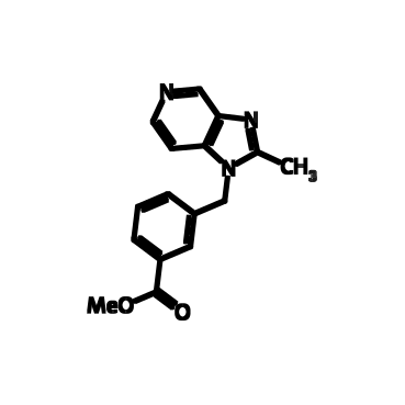 COC(=O)c1cccc(Cn2c(C)nc3cnccc32)c1